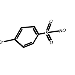 O=NS(=O)(=O)c1ccc(Br)cc1